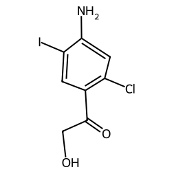 Nc1cc(Cl)c(C(=O)CO)cc1I